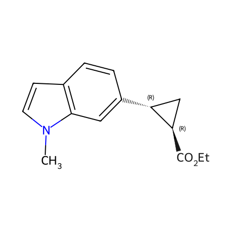 CCOC(=O)[C@@H]1C[C@H]1c1ccc2ccn(C)c2c1